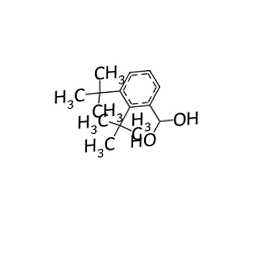 CC(C)(C)c1cccc(C(O)O)c1C(C)(C)C